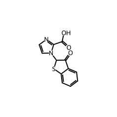 O=C(O)c1nccn1C1Sc2ccccc2C1=O